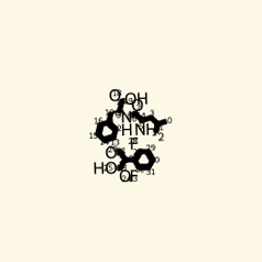 CC(C)CC(N)C(=O)N[C@@H](Cc1ccccc1)C(=O)O.O=CC(C(=O)O)c1c(F)cccc1F